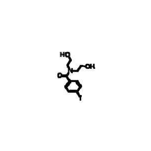 O=C(c1ccc(I)cc1)N(CCO)CCO